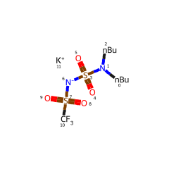 CCCCN(CCCC)S(=O)(=O)[N-]S(=O)(=O)C(F)(F)F.[K+]